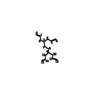 C=CCC(CC=C)CCC(CC=C)CC=C